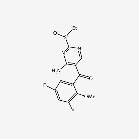 CC[S+]([O-])c1ncc(C(=O)c2cc(F)cc(F)c2OC)c(N)n1